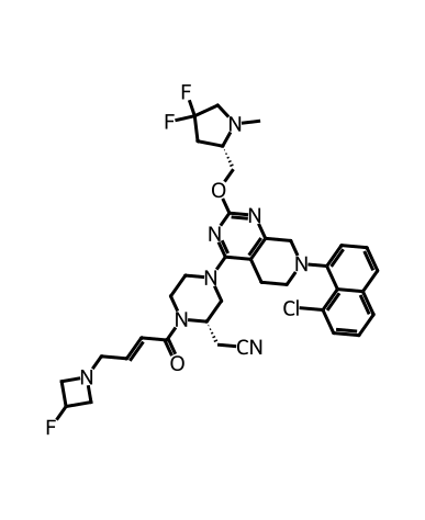 CN1CC(F)(F)C[C@H]1COc1nc2c(c(N3CCN(C(=O)/C=C/CN4CC(F)C4)[C@@H](CC#N)C3)n1)CCN(c1cccc3cccc(Cl)c13)C2